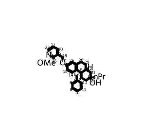 CCC[C@@]1(O)CC[C@@]2(Cc3ccccc3)c3ccc(OCc4cccnc4OC)cc3CC[C@@H]2C1